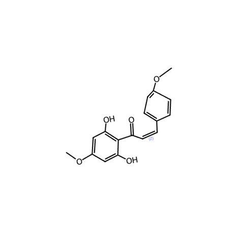 COc1ccc(/C=C\C(=O)c2c(O)cc(OC)cc2O)cc1